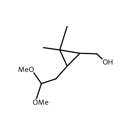 COC(CC1C(CO)C1(C)C)OC